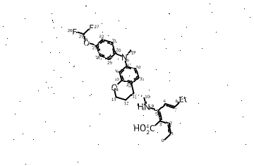 C\C=C/C(C(=O)O)=C(\C=C\CC)NC[C@@H]1CCOc2cc(N(C)c3ccc(OC(F)F)cc3)ccc21